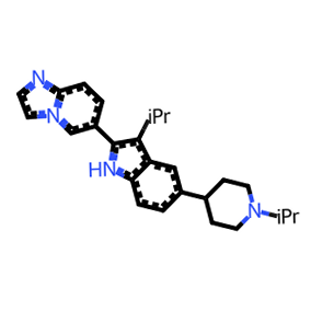 CC(C)c1c(-c2ccc3nccn3c2)[nH]c2ccc(C3CCN(C(C)C)CC3)cc12